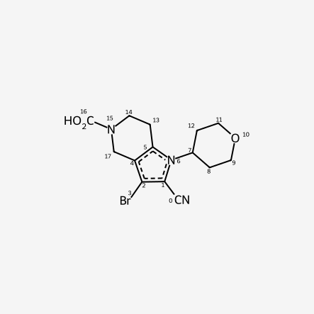 N#Cc1c(Br)c2c(n1C1CCOCC1)CCN(C(=O)O)C2